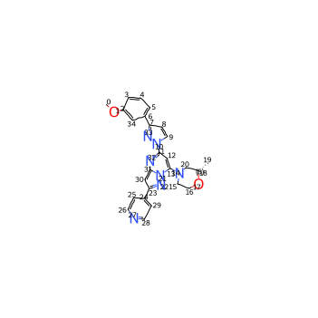 COc1cccc(-c2ccn(-c3cc(N4CCO[C@@H](C)C4)n4nc(-c5ccncc5)cc4n3)n2)c1